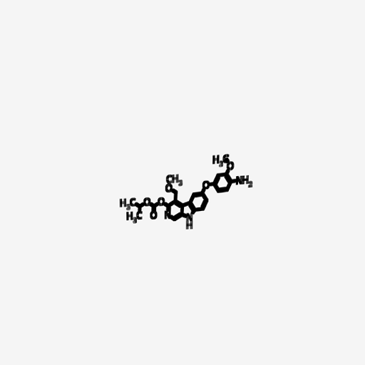 COCc1c(OC(=O)OC(C)C)ncc2[nH]c3ccc(Oc4ccc(N)c(OC)c4)cc3c12